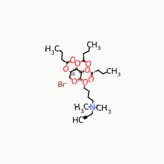 C#CC[N+](C)(C)CCCCO[C@H]1OC[C@H](OC(=O)CCC)[C@H](OC(=O)CCC)[C@H]1OC(=O)CCC.[Br-]